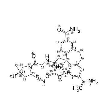 C=C(N)c1ccc2c(c1)CCc1cc(C(N)=O)ccc1C2(C[C@@H](C)NCC(=O)N1C(C#N)C[C@@H]2CC21)c1nc(=O)o[nH]1